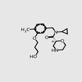 Cc1ccc(CN(C(=O)[C@H]2CNCCO2)C2CC2)cc1OCCCO